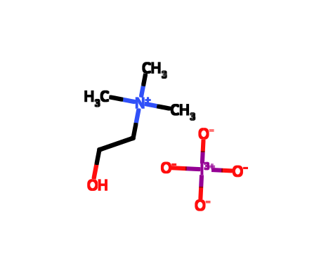 C[N+](C)(C)CCO.[O-][I+3]([O-])([O-])[O-]